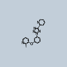 Cc1ncccc1Oc1cccc(-n2nnc(-c3ccccn3)n2)c1